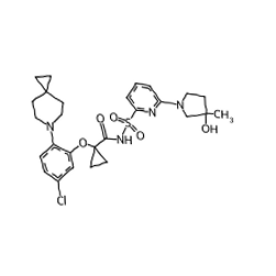 CC1(O)CCN(c2cccc(S(=O)(=O)NC(=O)C3(Oc4cc(Cl)ccc4N4CCC5(CC4)CC5)CC3)n2)C1